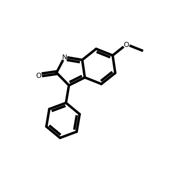 COc1ccc2c(c1)=NC(=O)C=2c1ccccc1